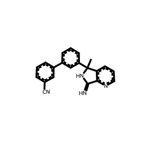 CC1(c2cccc(-c3cccc(C#N)c3)c2)NC(=N)c2ncccc21